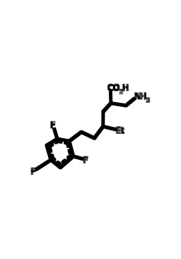 CCC(CCc1c(F)cc(F)cc1F)CC(CN)C(=O)O